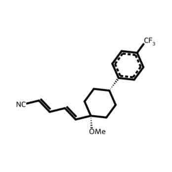 CO[C@]1(C=CC=CC#N)CC[C@H](c2ccc(C(F)(F)F)cc2)CC1